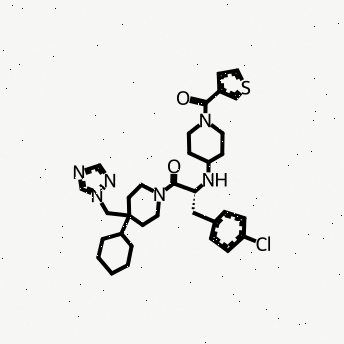 O=C(c1ccsc1)N1CCC(N[C@H](Cc2ccc(Cl)cc2)C(=O)N2CCC(Cn3cncn3)(C3CCCCC3)CC2)CC1